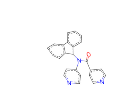 O=C(c1ccncc1)N(c1ccncc1)C1c2ccccc2-c2ccccc21